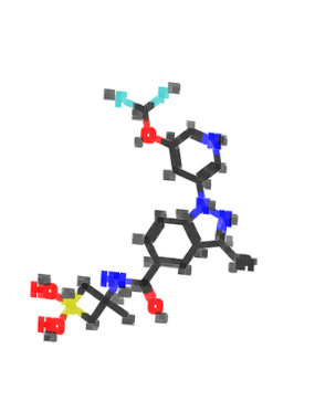 CC(C)c1nn(-c2cncc(OC(F)F)c2)c2ccc(C(=O)NC3(C)CS(O)(O)C3)cc12